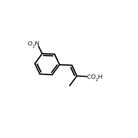 C/C(=C\c1cccc([N+](=O)[O-])c1)C(=O)O